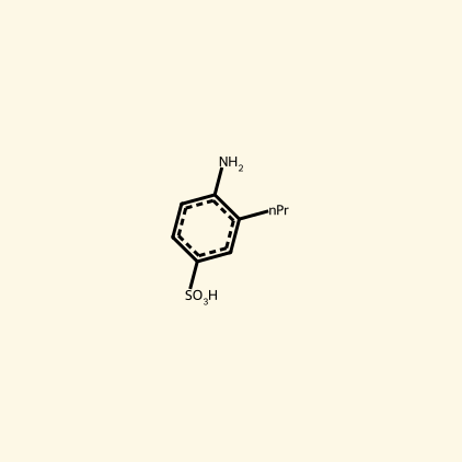 CCCc1cc(S(=O)(=O)O)ccc1N